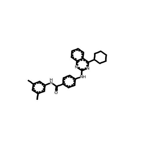 Cc1cc(C)cc(NC(=O)c2ccc(Nc3nc(C4CCCCC4)c4ccccc4n3)cc2)c1